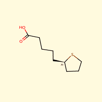 O=C(O)CCCC[C@@H]1CCCS1